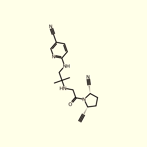 C#C[C@H]1CC[C@@H](C#N)N1C(=O)CNC(C)(C)CNc1ccc(C#N)cn1